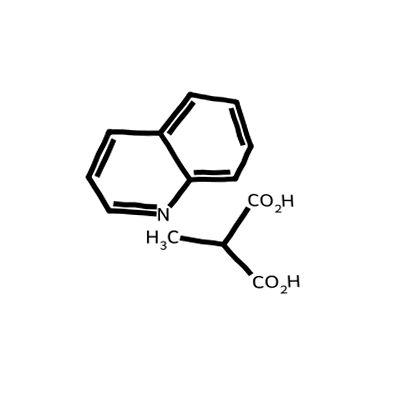 CC(C(=O)O)C(=O)O.c1ccc2ncccc2c1